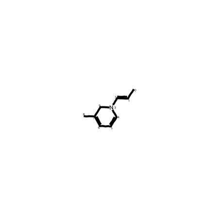 CC=CN1C=CC=C(C)C1